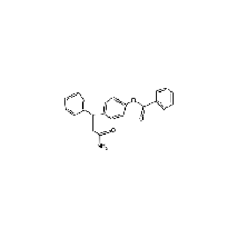 NC(=O)CC(c1ccccc1)c1ccc(OC(=O)c2ccccc2)cc1